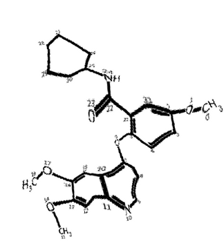 COc1ccc(Oc2ccnc3cc(OC)c(OC)cc23)c(C(=O)NC2CCCCC2)c1